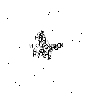 C=CC1CC1(NC(=O)[C@@H]1C[C@@H](NC(=O)c2ccc3cnccc3n2)CN1C(=O)[C@@H](NC(=O)CC1CC1)C(C)(C)C)C(=O)NS(=O)(=O)C1CC1